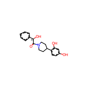 O=C([C@H](O)c1ccccc1)N1CCC(c2ccc(O)cc2O)CC1